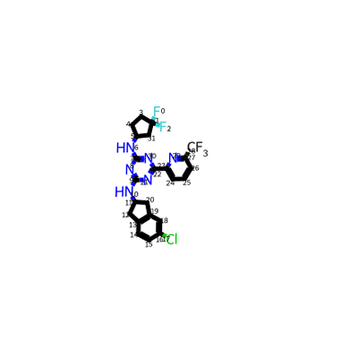 FC1(F)CCC(Nc2nc(NC3Cc4ccc(Cl)cc4C3)nc(-c3cccc(C(F)(F)F)n3)n2)C1